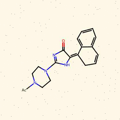 CC(=O)N1CCN(C2=NC(=O)C(=C3CC=Cc4ccccc43)N2)CC1